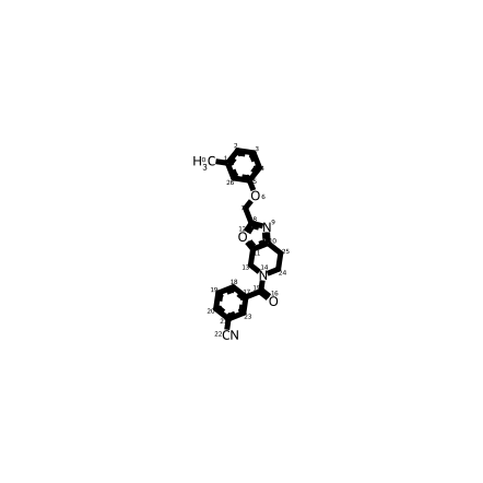 Cc1cccc(OCc2nc3c(o2)CN(C(=O)c2cccc(C#N)c2)CC3)c1